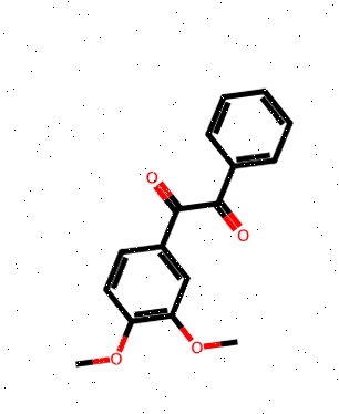 COc1ccc(C(=O)C(=O)c2ccccc2)cc1OC